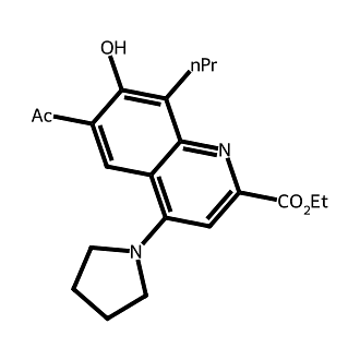 CCCc1c(O)c(C(C)=O)cc2c(N3CCCC3)cc(C(=O)OCC)nc12